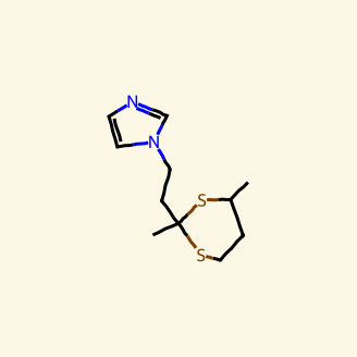 CC1CCSC(C)(CCn2ccnc2)S1